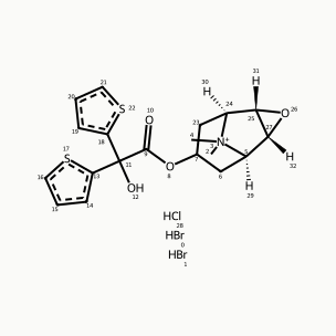 Br.Br.C[N+]1(C)[C@@H]2CC(OC(=O)C(O)(c3cccs3)c3cccs3)C[C@H]1[C@@H]1O[C@@H]12.Cl